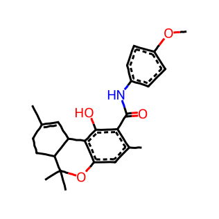 COc1ccc(NC(=O)c2c(C)cc3c(c2O)C2C=C(C)CCC2C(C)(C)O3)cc1